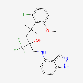 COc1cccc(F)c1C(C)(C)CC(O)(CNc1cccc2[nH]ncc12)C(F)(F)F